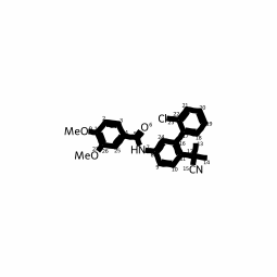 COc1ccc(C(=O)Nc2ccc(C(C)(C)C#N)c(-c3ccccc3Cl)c2)cc1OC